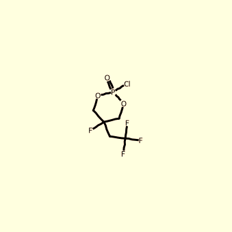 O=P1(Cl)OCC(F)(CC(F)(F)F)CO1